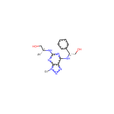 CCn1nnc2c(N[C@@H](CO)c3ccccc3)nc(N[C@@H](CO)C(C)C)nc21